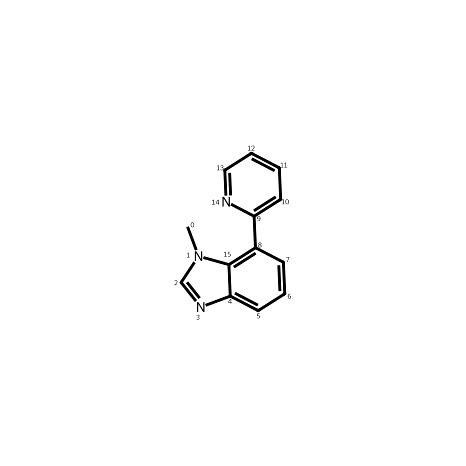 Cn1cnc2cccc(-c3ccccn3)c21